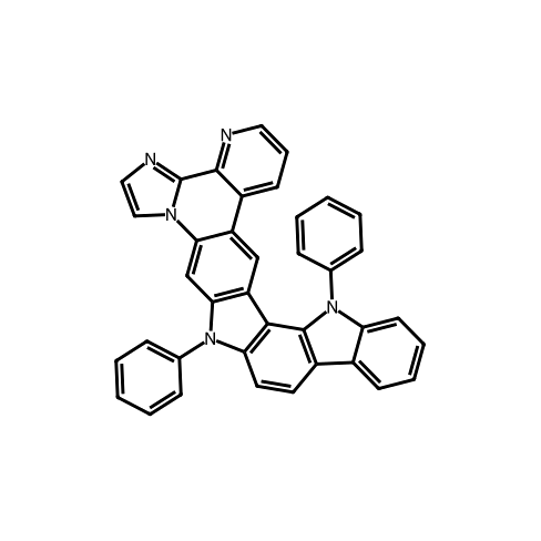 c1ccc(-n2c3cc4c(cc3c3c2ccc2c5ccccc5n(-c5ccccc5)c23)c2cccnc2c2nccn42)cc1